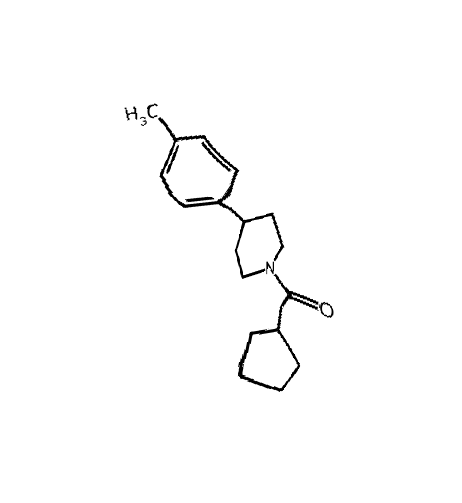 Cc1ccc(C2CCN(C(=O)C3CCCC3)CC2)cc1